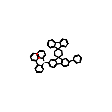 c1ccc(-c2ccc3c(c2)C2(CCC4(CC2)c2ccccc2-c2ccccc24)c2cc(N(c4ccccc4)c4ccccc4-c4ccccc4)ccc2-3)cc1